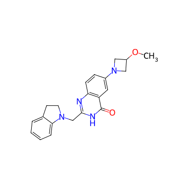 COC1CN(c2ccc3nc(CN4CCc5ccccc54)[nH]c(=O)c3c2)C1